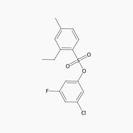 CCc1cc(C)ccc1S(=O)(=O)Oc1cc(F)cc(Cl)c1